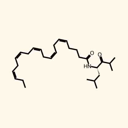 CC/C=C\C/C=C\C/C=C\C/C=C\C/C=C\CCCC(=O)N[C@@H](CC(C)C)C(=O)C(C)C